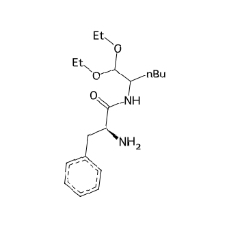 CCCCC(NC(=O)[C@@H](N)Cc1ccccc1)C(OCC)OCC